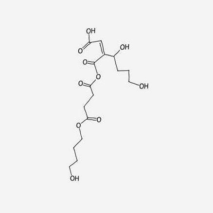 O=C(O)/C=C(\C(=O)OC(=O)CCC(=O)OCCCCO)C(O)CCCO